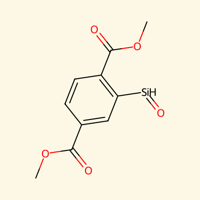 COC(=O)c1ccc(C(=O)OC)c([SiH]=O)c1